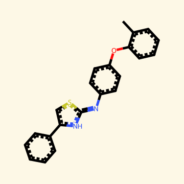 Cc1ccccc1Oc1ccc(N=c2[nH]c(-c3ccccc3)cs2)cc1